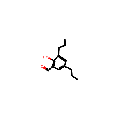 CCCc1cc(C=O)c(O)c(CCC)c1